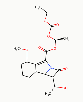 CCOC(=O)O[C@@H](C)OC(=O)C1=C2C(OC)CCCC2C2C([C@@H](C)O)C(=O)N12